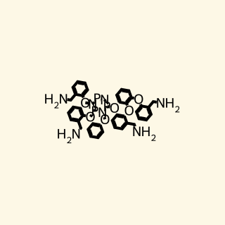 NCc1ccccc1Oc1cccc(Op2npn(Oc3ccccc3CN)p(Oc3ccccc3CN)n2Oc2ccccc2)c1Oc1ccccc1CN